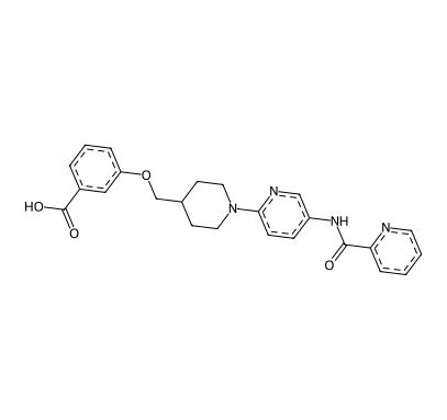 O=C(O)c1cccc(OCC2CCN(c3ccc(NC(=O)c4ccccn4)cn3)CC2)c1